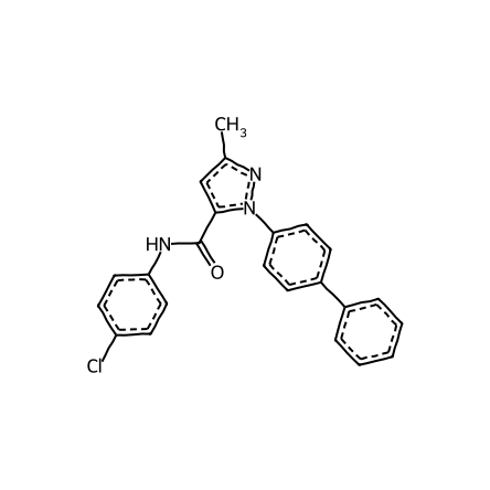 Cc1cc(C(=O)Nc2ccc(Cl)cc2)n(-c2ccc(-c3ccccc3)cc2)n1